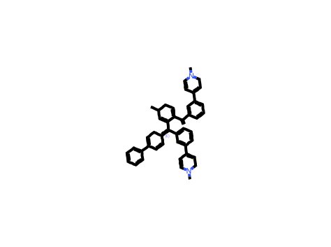 C=C(C1=CCC(C)C=C1/C(=C1/C=CC(c2ccccc2)=CC1)c1cccc(C2=CCN(C)C=C2)c1)c1cccc(C2=CCN(C)C=C2)c1